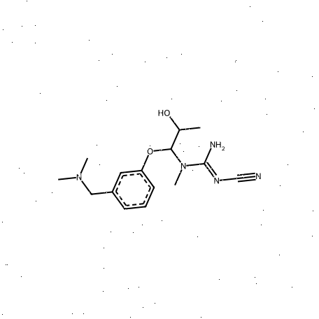 CC(O)C(Oc1cccc(CN(C)C)c1)N(C)C(N)=NC#N